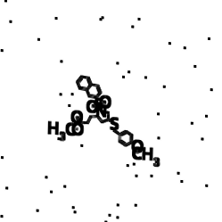 COC(=O)CCC1CC(SCc2ccc(OC)cc2)CN1S(=O)(=O)c1ccc2ccccc2c1